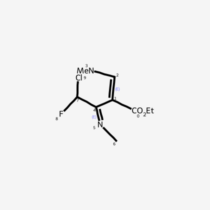 CCOC(=O)C(=C/NC)/C(=N\C)C(F)Cl